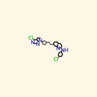 Clc1ccc(Nc2ccc3ccc(CCC4CCC(n5ccc6c(Cl)ncnc65)C4)cc3n2)cc1